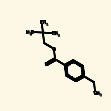 CCc1ccc(C(=O)OCC(C)(C)C)cc1